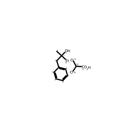 CCC(C)(O)Cc1ccccc1.O=C(O)C(Cl)Cl